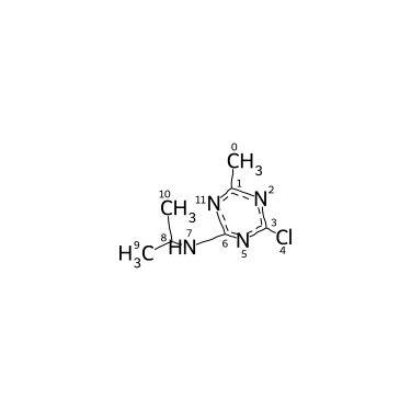 Cc1nc(Cl)nc(NC(C)C)n1